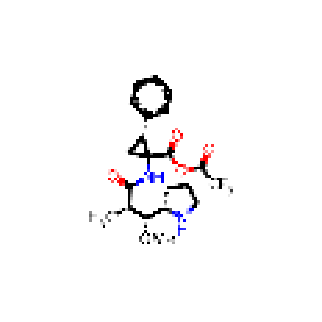 CO[C@@H]([C@@H]1CCCN1)[C@@H](C)C(=O)N[C@@]1(C(=O)OC(=O)C(F)(F)F)C[C@@H]1c1ccccc1